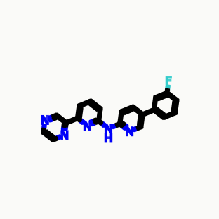 Fc1cccc(-c2ccc(Nc3cccc(-c4cnccn4)n3)nc2)c1